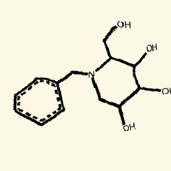 OCC1C(O)C(O)C(O)CN1Cc1ccccc1